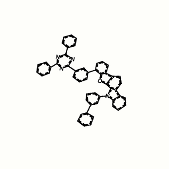 c1ccc(-c2cccc(-n3c4ccccc4c4ccc5c6cccc(-c7cccc(-c8nc(-c9ccccc9)nc(-c9ccccc9)n8)c7)c6oc5c43)c2)cc1